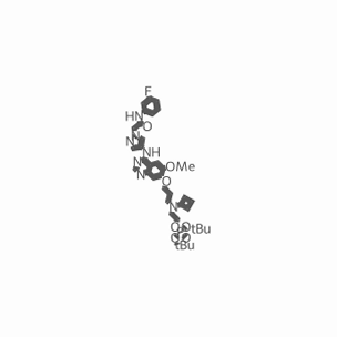 COc1cc2c(Nc3cnn(CC(=O)Nc4cccc(F)c4)c3)ncnc2cc1OCCCN(CCOP(=O)(OC(C)(C)C)OC(C)(C)C)C1CCC1